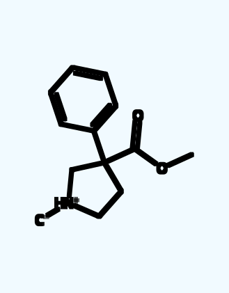 [CH2-][NH+]1CCC(C(=O)OC)(c2ccccc2)C1